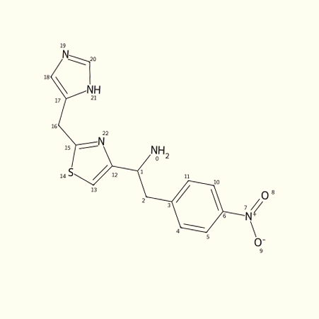 NC(Cc1ccc([N+](=O)[O-])cc1)c1csc(Cc2cnc[nH]2)n1